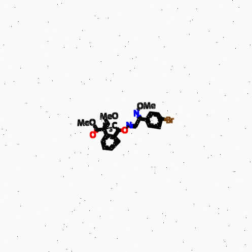 COC=C(C(=O)OC)c1ccccc1C(C)ON=CC(=NOC)c1ccc(Br)cc1